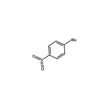 CC(C)(C)c1ccc([SH](=O)=O)cc1